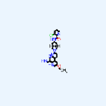 CCOC1=CN/C(=C(/C#N)C=N)C(c2ccc(N3C[C@H]4C[C@H](NC(=O)c5ncccc5Cl)C[C@H]4C3)nc2)=C1